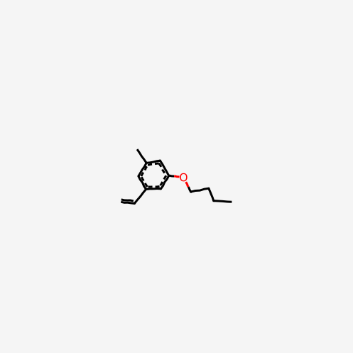 C=Cc1cc(C)cc(OCCCC)c1